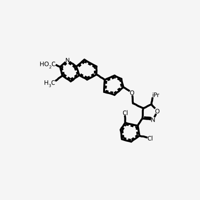 Cc1cc2cc(-c3ccc(OCC4C(c5c(Cl)cccc5Cl)=NOC4C(C)C)cc3)ccc2nc1C(=O)O